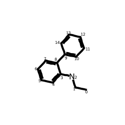 CC[N]c1ccccc1-c1ccccc1